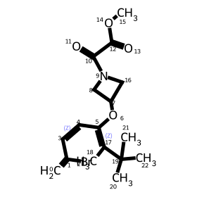 C=C(Br)/C=C\C(OC1CN(C(=O)C(=O)OC)C1)=C(/C)C(C)(C)C